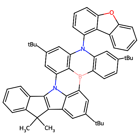 CC(C)(C)c1ccc2c(c1)N(c1cccc3oc4ccccc4c13)c1cc(C(C)(C)C)cc3c1B2c1cc(C(C)(C)C)cc2c4c(n-3c12)-c1ccccc1C4(C)C